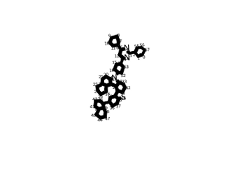 C1=CC(c2nc(-c3ccccc3)cc(-c3ccc(-n4c5ccc6ccccc6c5c5c6c(ccc54)sc4ccc(-c5cccc7ccccc57)cc46)cc3)n2)=CCC1